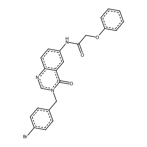 O=C(COc1ccccc1)Nc1ccc2ncn(Cc3ccc(Br)cc3)c(=O)c2c1